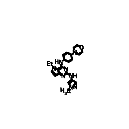 CCn1ccc2nc(Nc3cnn(C)c3)nc(N[C@H]3CC[C@H](N4CCOCC4)CC3)c21